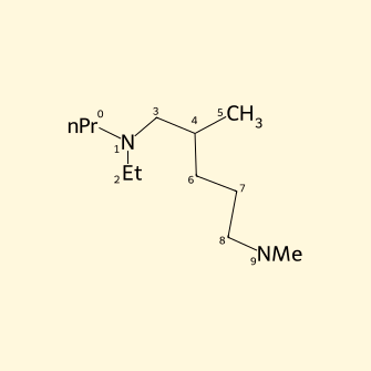 CCCN(CC)CC(C)CCCNC